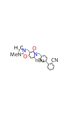 CCCCc1ccc(CN(C)C(=O)NC)c(=O)n1Cc1ccc(-c2ccccc2C#N)cc1